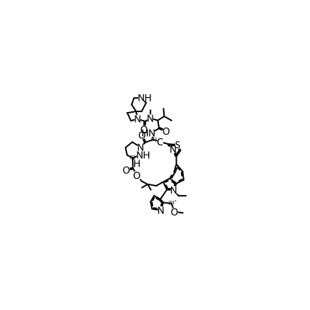 CCn1c(-c2cccnc2[C@H](C)OC)c2c3cc(ccc31)-c1csc(n1)C[C@H](NC(=O)C(C(C)C)N(C)C(=O)N1CCC13CCNCC3)C(=O)N1CCC[C@H](N1)C(=O)OCC(C)(C)C2